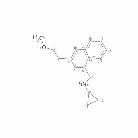 COCCc1cc(CNC2CC2)c2ccccc2c1